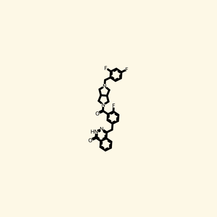 O=C(c1cc(Cc2n[nH]c(=O)c3ccccc23)ccc1F)N1CC2CN(Cc3ccc(F)cc3F)CC2C1